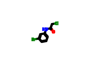 O=C(CCl)Nc1cccc(Br)c1